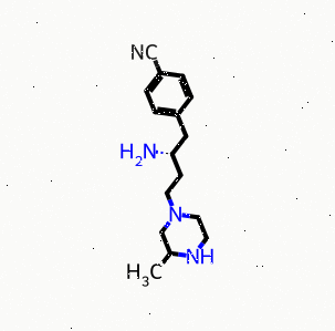 CC1CN(CC[C@H](N)Cc2ccc(C#N)cc2)CCN1